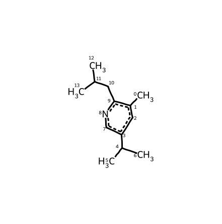 Cc1cc(C(C)C)cnc1CC(C)C